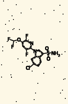 NS(=O)(=O)c1cn(-c2nc(F)c(OC(F)F)cc2F)c2cc(Cl)ccc12